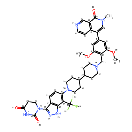 COc1cc(-c2cn(C)c(=O)c3cnccc23)cc(OC)c1CN1CCC(C2CCN(c3ccc4c(N5CCC(=O)NC5=O)n[nH]c4c3C(F)(F)F)CC2)CC1